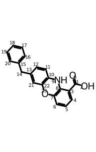 O=C(O)c1cccc2c1Nc1ccc(Cc3ccccc3)cc1O2